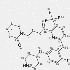 O=C1CCCCN1CCCNc1nc(Nc2cc(OC3CCNCC3)ccc2Cl)ncc1C(F)(F)F